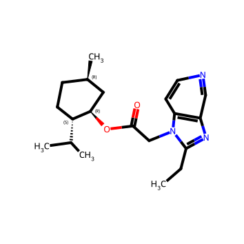 CCc1nc2cnccc2n1CC(=O)O[C@@H]1C[C@H](C)CC[C@H]1C(C)C